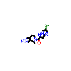 CC1c2c[nH]cc2CCN1C(=O)c1cc2ncc(Br)cn2n1